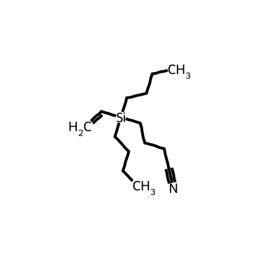 C=C[Si](CCCC)(CCCC)CCCC#N